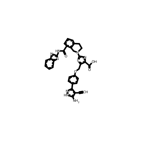 C#Cc1c(-c2ccc(OCc3sc(N4CCc5cccc(C(=O)Nc6nc7ccccc7s6)c5C4)nc3C(=O)O)cc2)n[nH]c1N